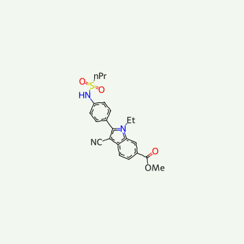 CCCS(=O)(=O)Nc1ccc(-c2c(C#N)c3ccc(C(=O)OC)cc3n2CC)cc1